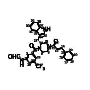 O=CNc1cc(C(=O)N2CCN(C(=O)/C=C/c3ccccc3)C[C@H]2Cc2c[nH]c3ccccc23)cc(C(F)(F)F)c1